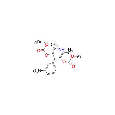 CCCCCCCCOC(=O)OC1=C(C)NC(C)=C(OC(=O)OC(C)C)C1c1cccc([N+](=O)[O-])c1